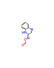 O=CO/N=c1/cnc2ccccc2[nH]1